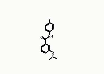 CN(C)Sc1cccc(C(=O)Nc2ccc(F)cc2)c1